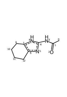 CC(=O)Nc1nc2c([nH]1)CCCC2